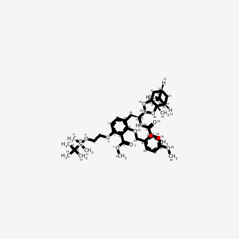 COC(=O)c1c(OCCO[Si](C)(C)C(C)(C)C)ccc(C[C@H](NC(=O)CSC)B2OC3C[C@@H]4C[C@@H](C4(C)C)[C@]3(C)O2)c1OCc1ccc(OC)cc1